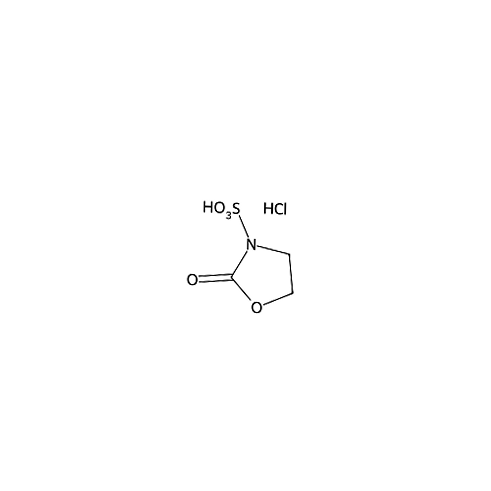 Cl.O=C1OCCN1S(=O)(=O)O